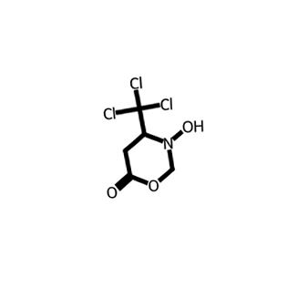 O=C1CC(C(Cl)(Cl)Cl)N(O)CO1